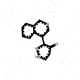 O=c1cc[nH]nc1-c1cncc2ccccc12